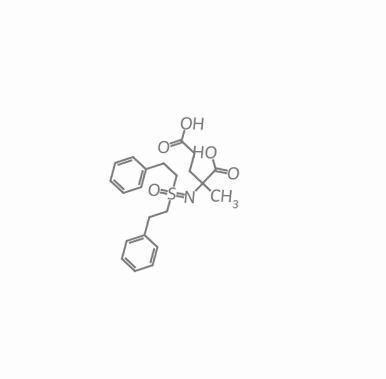 CC(CCC(=O)O)(N=S(=O)(CCc1ccccc1)CCc1ccccc1)C(=O)O